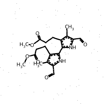 COC(=O)CCc1c(-c2[nH]c(C=O)c(C)c2CCC(=O)OC)[nH]c(C=O)c1C